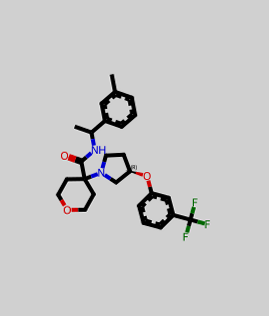 Cc1cccc(C(C)NC(=O)C2(N3CC[C@@H](Oc4cccc(C(F)(F)F)c4)C3)CCOCC2)c1